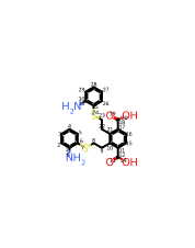 Nc1ccccc1SCCc1c(C(=O)O)ccc(C(=O)O)c1CCSc1ccccc1N